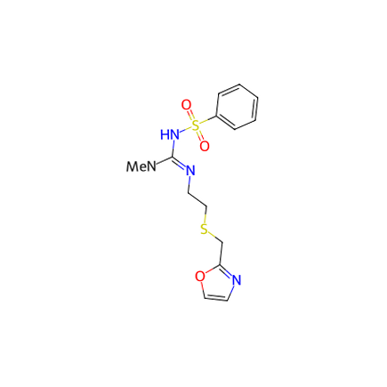 CNC(=NCCSCc1ncco1)NS(=O)(=O)c1ccccc1